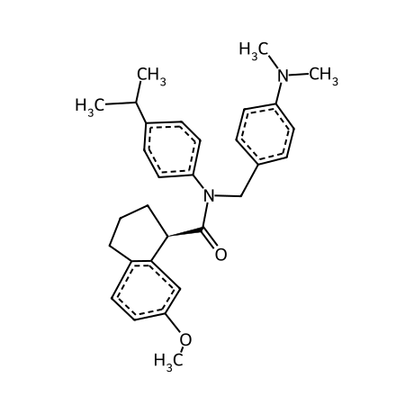 COc1ccc2c(c1)[C@H](C(=O)N(Cc1ccc(N(C)C)cc1)c1ccc(C(C)C)cc1)CCC2